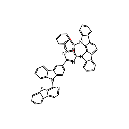 c1ccc(-c2nc(-c3ccc4c(c3)c3ccccc3n4-c3nccc4c3sc3ccccc34)nc(-n3c4ccccc4c4ccc5c6ccccc6n(-c6ccccc6)c5c43)n2)cc1